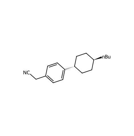 CCCC[C@H]1CC[C@H](c2ccc(CC#N)cc2)CC1